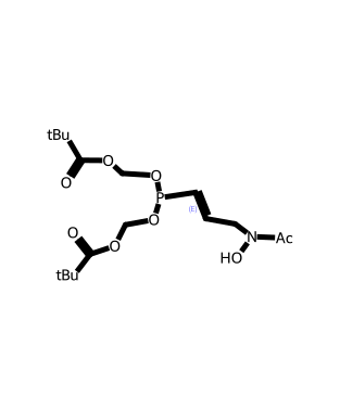 CC(=O)N(O)C/C=C/P(OCOC(=O)C(C)(C)C)OCOC(=O)C(C)(C)C